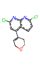 Clc1ccc2c(C3=CCOCC3)cc(Cl)nc2n1